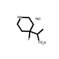 CC(C(=O)O)C1(F)CCNCC1.Cl